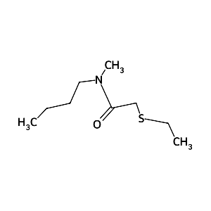 CCCCN(C)C(=O)CSCC